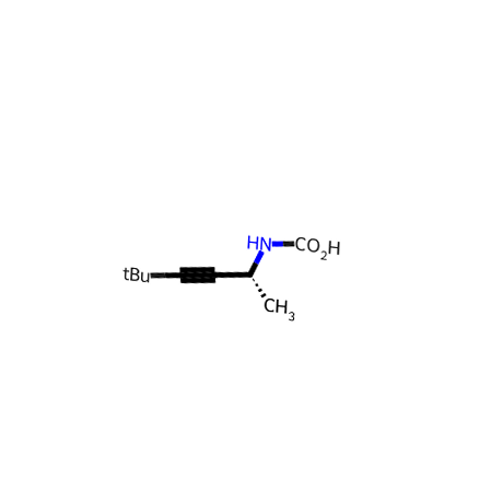 C[C@H](C#CC(C)(C)C)NC(=O)O